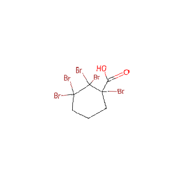 O=C(O)C1(Br)CCCC(Br)(Br)C1(Br)Br